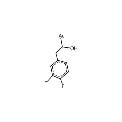 CC(=O)C(O)Cc1ccc(F)c(F)c1